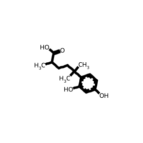 CC(CCC(C)(C)c1ccc(O)cc1O)C(=O)O